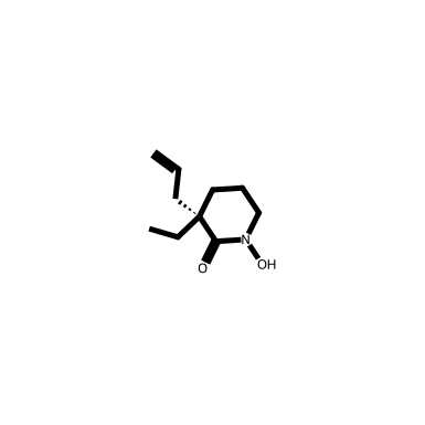 C=CC[C@]1(CC)CCCN(O)C1=O